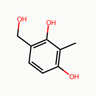 Cc1c(O)ccc(CO)c1O